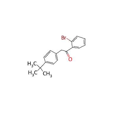 CC(C)(C)c1ccc(CC(=O)c2ccccc2Br)cc1